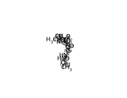 Cc1ccc(NC(=O)NCc2cc3c(s2)C(=O)N(C2CCC(=O)N(COC(=O)[C@H](N)C(C)C)C2=O)C3)cc1Cl